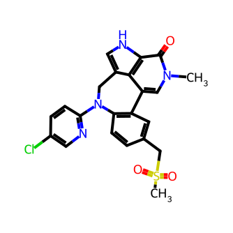 Cn1cc2c3c(c[nH]c3c1=O)CN(c1ccc(Cl)cn1)c1ccc(CS(C)(=O)=O)cc1-2